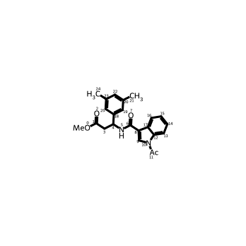 COC(=O)CC(NC(=O)c1cn(C(C)=O)c2ccccc12)c1cc(C)cc(C)c1